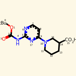 CC(C)(C)OC(=O)Nc1nccc(N2CCCC(C(=O)O)C2)n1